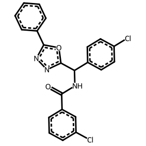 O=C(NC(c1ccc(Cl)cc1)c1nnc(-c2ccccc2)o1)c1cccc(Cl)c1